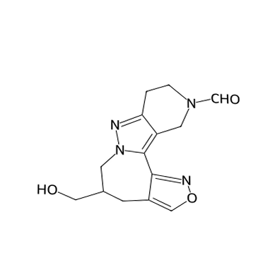 O=CN1CCc2nn3c(c2C1)-c1nocc1CC(CO)C3